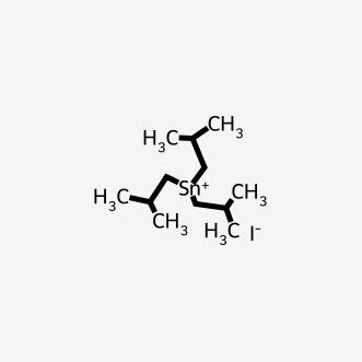 CC(C)[CH2][Sn+]([CH2]C(C)C)[CH2]C(C)C.[I-]